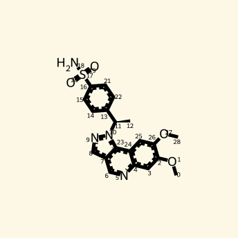 COc1cc2ncc3cnn([C@H](C)c4ccc(S(N)(=O)=O)cc4)c3c2cc1OC